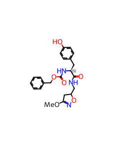 COC1=NOC(CNC(=O)[C@H](Cc2ccc(O)cc2)NC(=O)OCc2ccccc2)C1